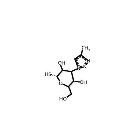 Cc1cn(C2C(O)[C@@H](S)OC(CO)[C@@H]2O)nn1